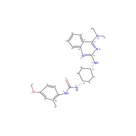 COc1ccc(NC(=O)N[C@H]2CC[C@@H](Nc3nc(N(C)C)c4ccccc4n3)CC2)c(C)c1